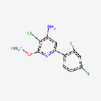 Nc1cc(-c2ccc(F)cc2F)nc(OC(=O)O)c1Cl